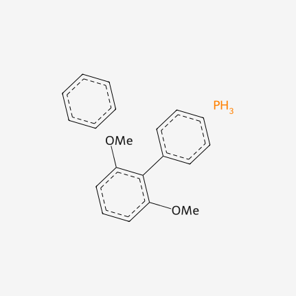 COc1cccc(OC)c1-c1ccccc1.P.c1ccccc1